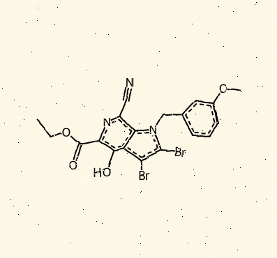 CCOC(=O)c1nc(C#N)c2c(c1O)c(Br)c(Br)n2Cc1cccc(OC)c1